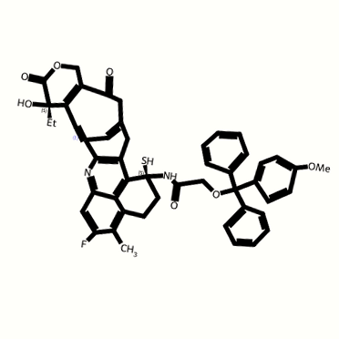 CC[C@@]1(O)C(=O)OCC2=C1/C=C1\C=C(CC2=O)Cc2c1nc1cc(F)c(C)c3c1c2[C@](S)(NC(=O)COC(c1ccccc1)(c1ccccc1)c1ccc(OC)cc1)CC3